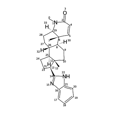 CN1C(=O)C=C[C@]2(C)[C@H]3CC[C@]4(C)[C@@H](c5nc6ccccc6[nH]5)CC[C@H]4[C@@H]3CC[C@@H]12